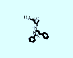 CCCCC(CC)CNc1cc(-c2ccccc2)nc(-c2ccccc2)n1